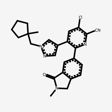 CN1Cc2ccc(-c3nc(C#N)c(Cl)cc3-c3cnn(CC4(C)CCCC4)c3)cc2C1=O